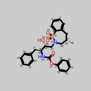 C[C@H]1Cc2ccccc2S(=O)(=O)N(C[C@@H](O)[C@H](Cc2ccccc2)NC(=O)Oc2ccccc2)C1